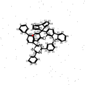 c1ccc(-c2ccc(-c3nc(-c4ccccc4)nc(-c4cccc(-n5c6ccccc6c6ccc7c(c65)Oc5ccccc5C75c6ccccc6-c6ccccc65)c4)n3)cc2)cc1